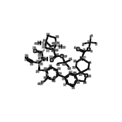 CC(C)(C)OC(=O)N1CCC2(CC1)OCc1ccc(-c3ccc(C[C@@H](C#N)NC(=O)[C@@H]4[C@H]5CC[C@H](C5)N4C(=O)OC(C)(C)C)c(F)c3)cc12